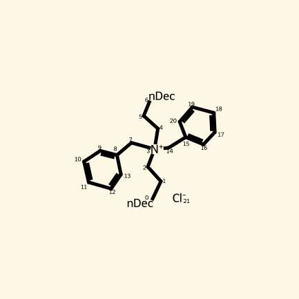 CCCCCCCCCCCC[N+](CCCCCCCCCCCC)(Cc1ccccc1)Cc1ccccc1.[Cl-]